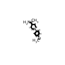 COc1ccc(N2CCC([C@@H](C)N)CC2)cc1